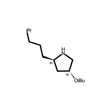 CC(C)CCC[C@@H]1C[C@@H](OCC(C)C)CN1